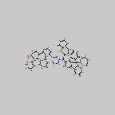 c1cc(-c2cccc3c4ccc5oc6ccccc6c5c4c4ccccc4c23)cc(N(c2ccc3c(c2)C2(c4ccccc4-c4ccccc42)c2ccccc2-3)c2ccc3ccccc3c2)c1